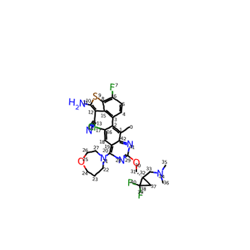 Cc1c(-c2ccc(F)c3sc(N)c(C#N)c23)c(Cl)cc2c(N3CCCOCC3)nc(OC[C@]3(CN(C)C)CC3(F)F)nc12